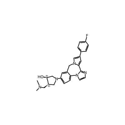 CN(C)C[C@@H]1CN(c2ccc3c(c2)Cn2cc(-c4ccc(F)cc4)cc2-c2nccn2-3)C[C@@H]1O